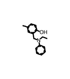 CCN(Cc1cc(C)ccc1O)c1ccccc1